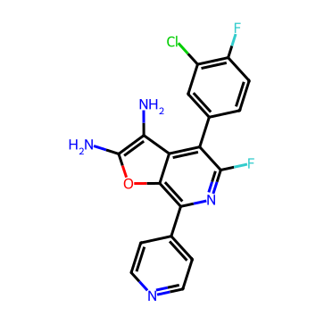 Nc1oc2c(-c3ccncc3)nc(F)c(-c3ccc(F)c(Cl)c3)c2c1N